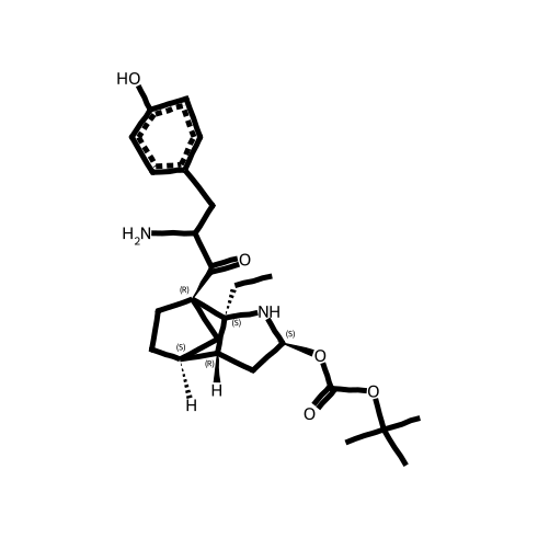 CC[C@]12N[C@@H](OC(=O)OC(C)(C)C)C[C@@H]1[C@H]1CC[C@@]2(C(=O)C(N)Cc2ccc(O)cc2)C1